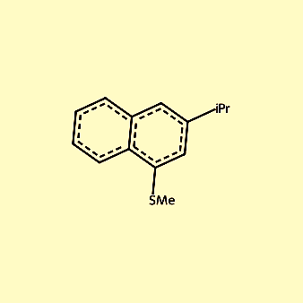 CSc1cc(C(C)C)cc2ccccc12